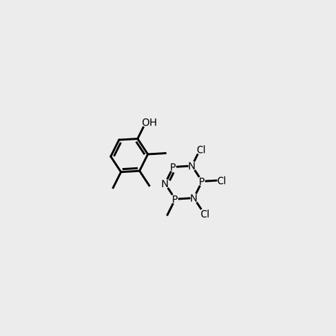 Cc1ccc(O)c(C)c1C.Cp1npn(Cl)p(Cl)n1Cl